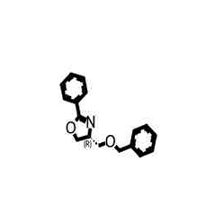 c1ccc(COC[C@@H]2COC(c3ccccc3)=N2)cc1